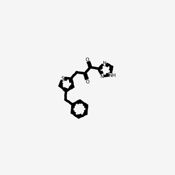 O=C(Cc1cc(Cc2ccccc2)cs1)C(=O)c1nc[nH]n1